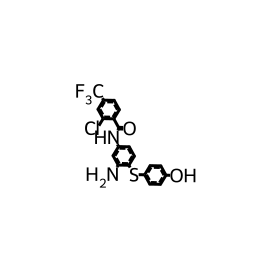 Nc1cc(NC(=O)c2ccc(C(F)(F)F)cc2Cl)ccc1Sc1ccc(O)cc1